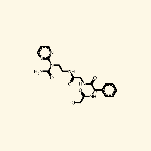 NC(=O)N(CCNC(=O)CNC(=O)[C@H](NC(=O)C[O])c1ccccc1)c1ncccn1